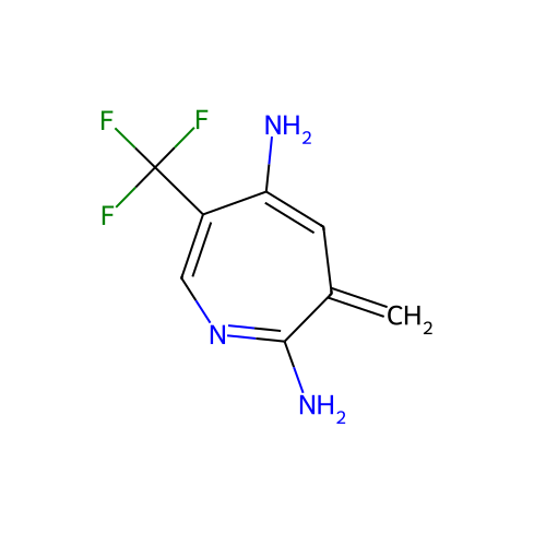 C=C1C=C(N)C(C(F)(F)F)=CN=C1N